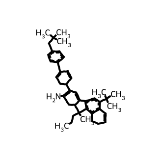 CCCC1(C)c2c(cc(C(C)(C)C)c3c2CCC=C3)C2=CC(C3C=CC(c4ccc(CC(C)(C)C)cc4)=CC3)=C(N)CC21